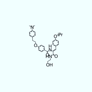 CC(C)Oc1ccc(C=C(NC(=O)c2ccc(OCCc3ccc(N(C)C)cc3)cc2)C(=O)NCCO)cc1